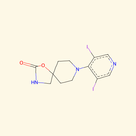 O=C1NCC2(CCN(c3c(I)cncc3I)CC2)O1